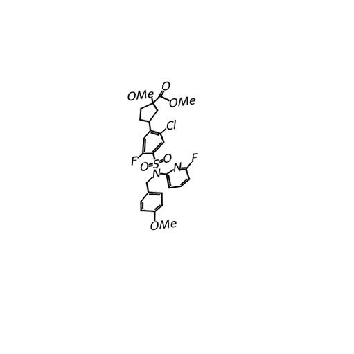 COC(=O)C1(OC)CCC(c2cc(F)c(S(=O)(=O)N(Cc3ccc(OC)cc3)c3cccc(F)n3)cc2Cl)C1